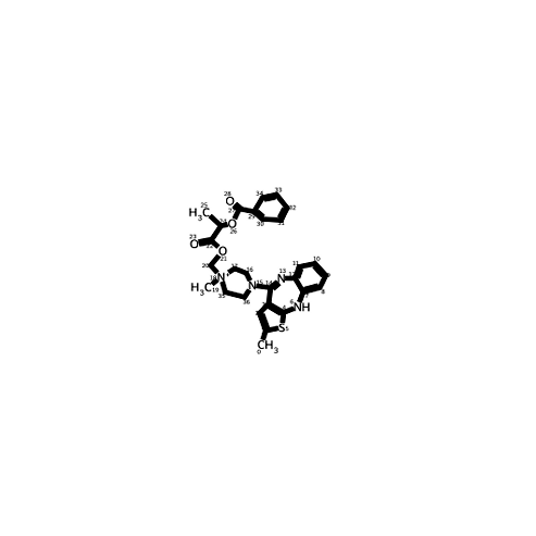 Cc1cc2c(s1)Nc1ccccc1N=C2N1CC[N+](C)(COC(=O)C(C)OC(=O)c2ccccc2)CC1